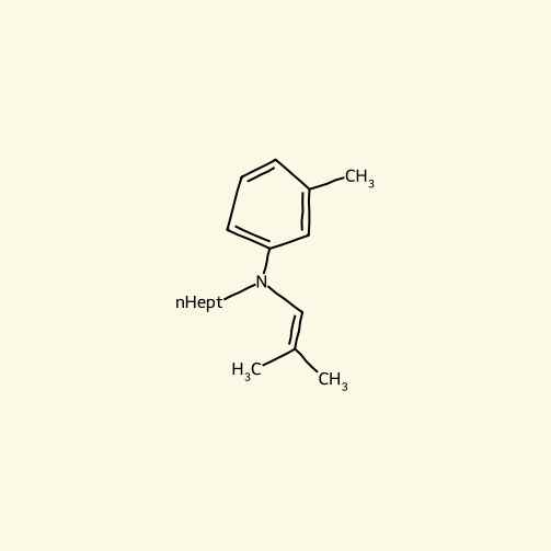 CCCCCCCN(C=C(C)C)c1cccc(C)c1